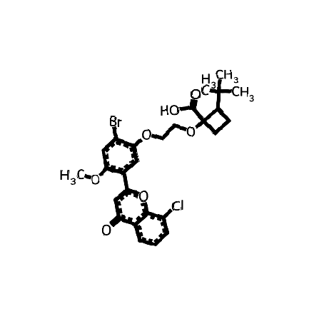 COc1cc(Br)c(OCCOC2(C(=O)O)CCC2C(C)(C)C)cc1-c1cc(=O)c2cccc(Cl)c2o1